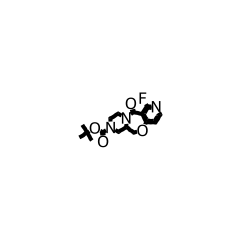 CC(C)(C)OC(=O)N1CCN2C(=O)c3c(ccnc3F)OCC2C1